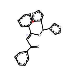 O=C(/C=C(\OB(c1ccsc1)c1ccsc1)c1ccccc1)c1ccccc1